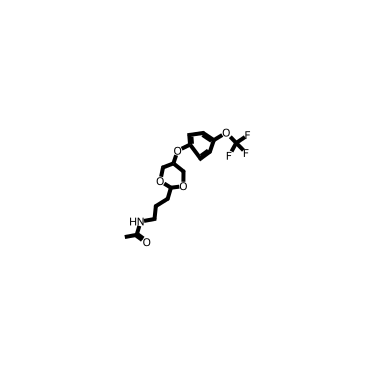 CC(=O)NCCCC1OCC(Oc2ccc(OC(F)(F)F)cc2)CO1